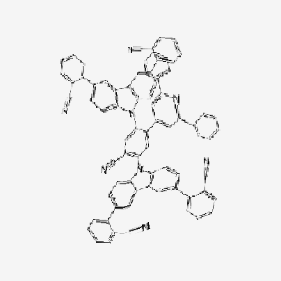 N#Cc1ccccc1-c1ccc2c(c1)c1cc(-c3ccccc3C#N)ccc1n2-c1cc(-c2cc(-c3ccccc3)nc(-c3ccccc3)c2)c(-n2c3ccc(-c4ccccc4C#N)cc3c3cc(-c4ccccc4C#N)ccc32)cc1C#N